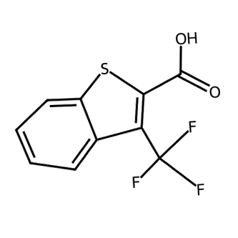 O=C(O)c1sc2ccccc2c1C(F)(F)F